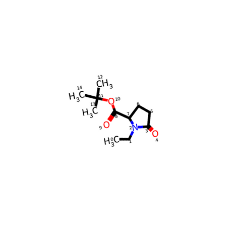 CCN1C(=O)CCC1C(=O)OC(C)(C)C